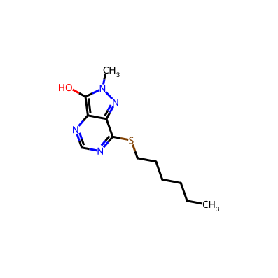 CCCCCCSc1ncnc2c(O)n(C)nc12